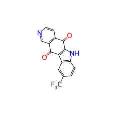 O=C1c2ccncc2C(=O)c2c1[nH]c1ccc(C(F)(F)F)cc21